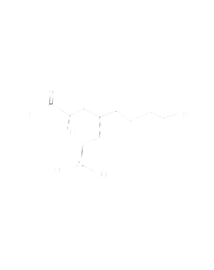 CCCCCC(CCN(C)C)CC(C)C(C)=O